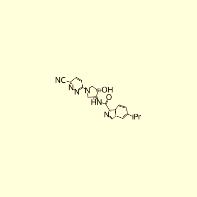 CC(C)C1=CC2C=NC(C(=O)N[C@H]3CN(c4ccc(C#N)nn4)C[C@@H]3O)=C2C=C1